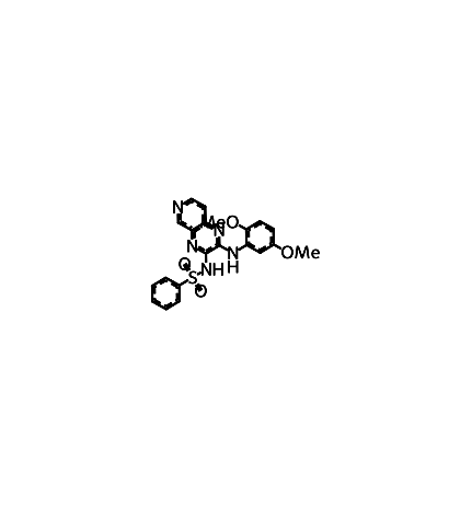 COc1ccc(OC)c(Nc2nc3ccncc3nc2NS(=O)(=O)c2ccccc2)c1